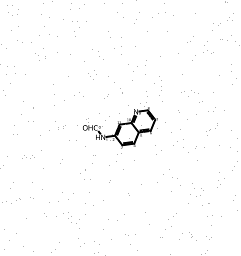 O=CNc1ccc2cccnc2c1